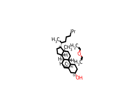 C=COC=C.CC(C)CCCC(C)[C@H]1CC[C@H]2[C@@H]3CC=C4C[C@@H](O)CC[C@]4(C)[C@H]3CC[C@]12C